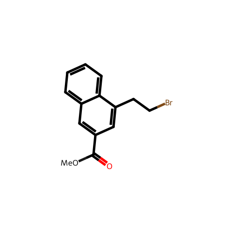 COC(=O)c1cc(CCBr)c2ccccc2c1